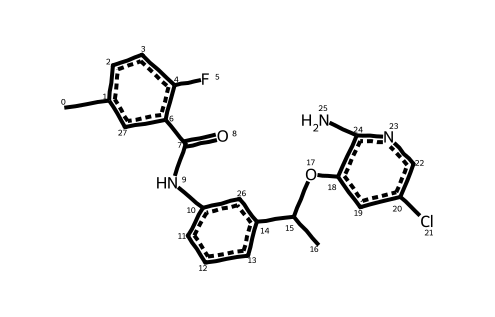 Cc1ccc(F)c(C(=O)Nc2cccc(C(C)Oc3cc(Cl)cnc3N)c2)c1